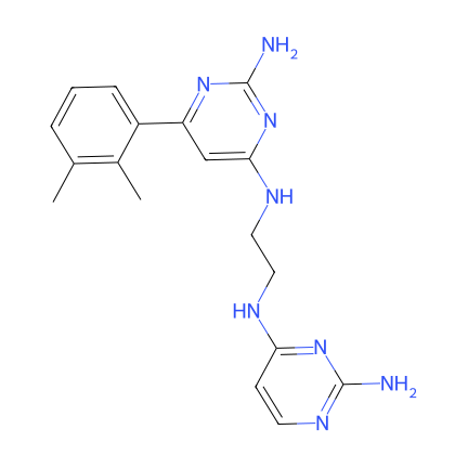 Cc1cccc(-c2cc(NCCNc3ccnc(N)n3)nc(N)n2)c1C